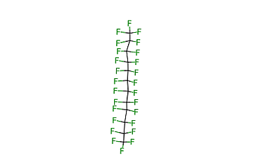 FC(F)(F)C(F)(F)C(F)(F)C(F)(F)C(F)(F)C(F)(F)C(F)(F)C(F)(F)C(F)(F)C(F)(F)C(F)(F)C(F)(F)F